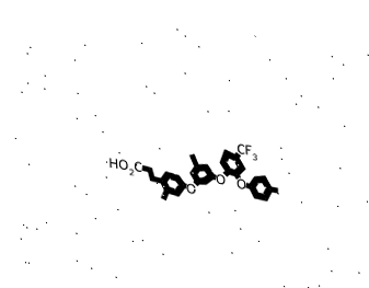 Cc1ccc(Oc2cc(C(F)(F)F)ccc2Oc2cc(C)cc(Oc3ccc(CCC(=O)O)c(C)c3)c2)cc1